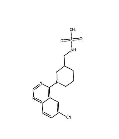 CS(=O)(=O)NCC1CCCN(c2ncnc3ccc(C#N)cc23)C1